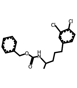 CC(CCCc1ccc(Cl)c(Cl)c1)NC(=O)OCc1ccccc1